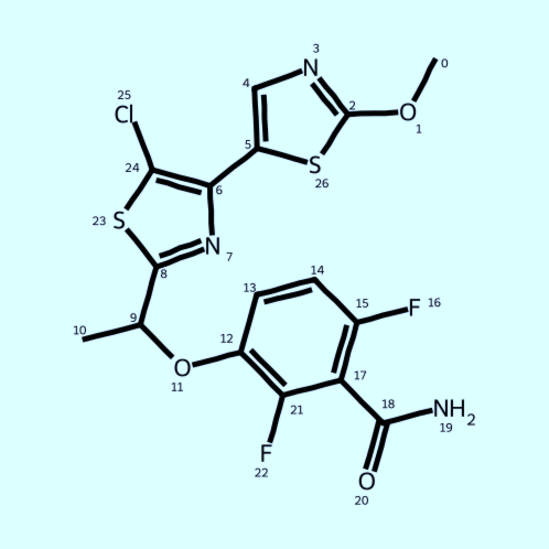 COc1ncc(-c2nc(C(C)Oc3ccc(F)c(C(N)=O)c3F)sc2Cl)s1